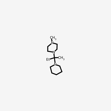 [CH2]CC(C)(N1CCCCC1)N1CCN(C)CC1